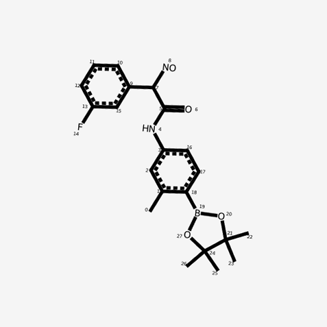 Cc1cc(NC(=O)C(N=O)c2cccc(F)c2)ccc1B1OC(C)(C)C(C)(C)O1